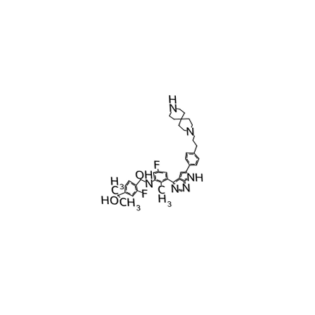 Cc1c(NC(=O)c2ccc(C(C)(C)O)cc2F)cc(F)cc1-c1ncnc2[nH]c(-c3ccc(CCCN4CCC5(CCNCC5)CC4)cc3)cc12